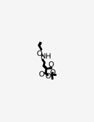 C=CCONCCC=C1C(=O)OC(C)(C)OC1=O